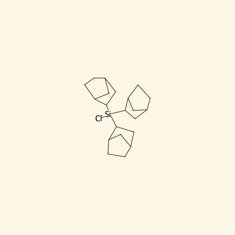 Cl[Si](C1CC2CCC1C2)(C1CC2CCC1C2)C1CC2CCC1C2